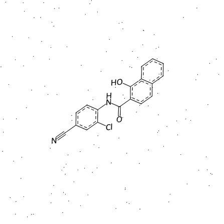 N#Cc1ccc(NC(=O)c2ccc3ccccc3c2O)c(Cl)c1